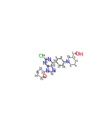 OCC1CCCN(c2ccc(-c3nc(Cl)nc4c3ncn4C3CCCCO3)cc2)C1